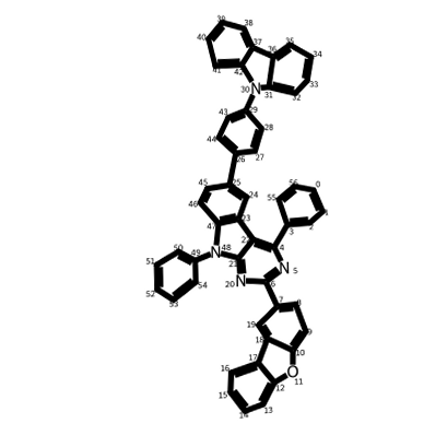 c1ccc(-c2nc(-c3ccc4oc5ccccc5c4c3)nc3c2c2cc(-c4ccc(-n5c6ccccc6c6ccccc65)cc4)ccc2n3-c2ccccc2)cc1